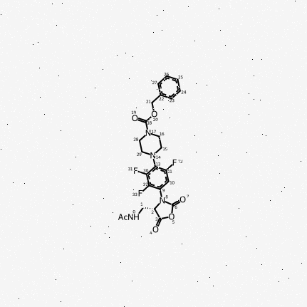 CC(=O)NC[C@H]1C(=O)OC(=O)N1c1cc(F)c(N2CCN(C(=O)OCc3ccccc3)CC2)c(F)c1F